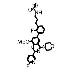 COc1cc(-c2cccc(CCCN[SH](=O)=O)c2F)cc2c(N3CCOCC3)nc(-c3ccc(F)nc3)nc12